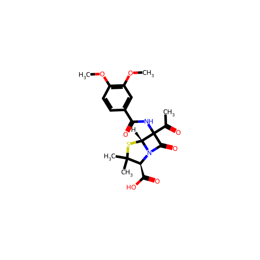 COc1ccc(C(=O)NC2(C(C)=O)C(=O)N3[C@@H](C(=O)O)C(C)(C)S[C@@H]32)cc1OC